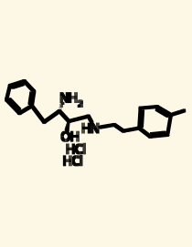 Cc1ccc(CCNC[C@@H](O)[C@@H](N)Cc2ccccc2)cc1.Cl.Cl